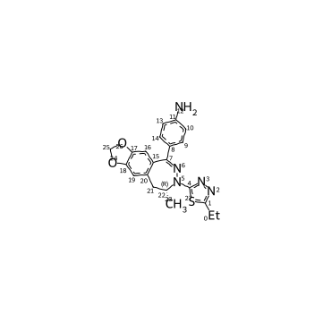 CCc1nnc(N2N=C(c3ccc(N)cc3)c3cc4c(cc3C[C@H]2C)OCO4)s1